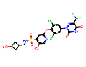 O=c1[nH]c(=O)n(-c2cc(Cl)c(Oc3cc(S(=O)(=O)NC[C@H]4C[C@H](O)C4)c(O)cn3)c(Cl)c2)nc1C(F)F